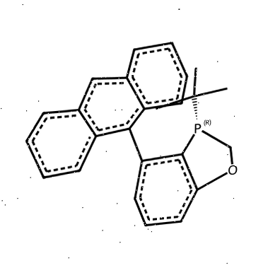 CC(C)(C)[P@]1COc2cccc(-c3c4ccccc4cc4ccccc34)c21